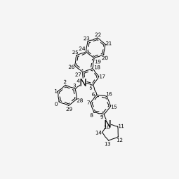 c1ccc(-n2c(-c3ccc(N4CCCC4)cc3)cc3c4ccccc4ccc32)cc1